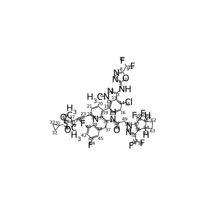 Cn1nc(Nc2nnc(C(F)F)o2)c2c(Cl)ccc(-c3ccc(C#CC(C)(C)S(=O)(=O)C4CC4)nc3[C@H](Cc3cc(F)cc(F)c3)NC(=O)Cn3nc(C(F)F)c4c3C(F)(F)[C@@H]3CC[C@H]43)c21